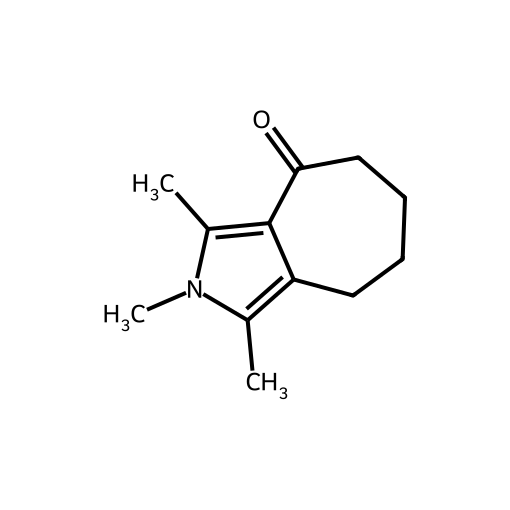 Cc1c2c(c(C)n1C)C(=O)CCCC2